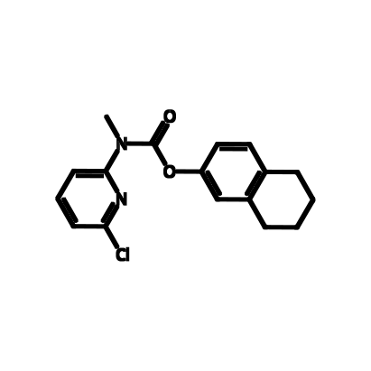 CN(C(=O)Oc1ccc2c(c1)CCCC2)c1cccc(Cl)n1